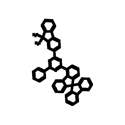 CC1(C)c2ccccc2-c2ccc(-c3nc(-c4ccccc4)nc(-c4cccc5c4-c4ccccc4C54c5ccccc5-c5ccccc54)n3)cc21